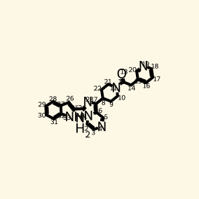 N[N+]12C=CN=CC1=C(C1CCN(C(=O)Cc3cccnc3)CC1)N=C2c1cc2ccccc2[nH]1